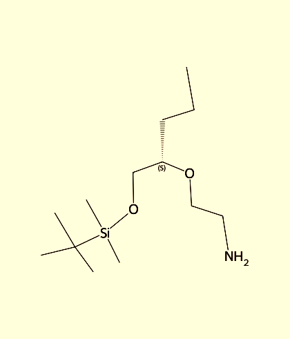 CCC[C@@H](CO[Si](C)(C)C(C)(C)C)OCCN